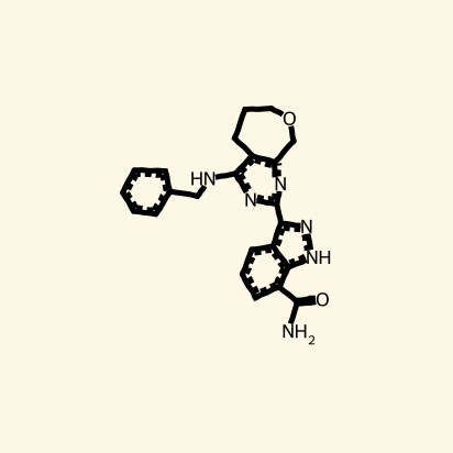 NC(=O)c1cccc2c(-c3nc4c(c(NCc5ccccc5)n3)CCCOC4)n[nH]c12